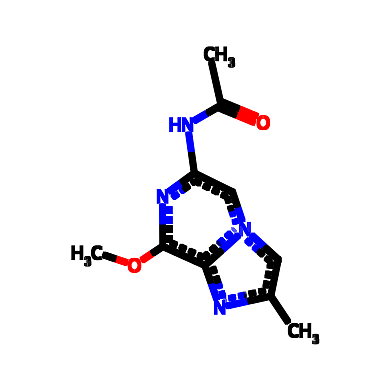 COc1nc(NC(C)=O)cn2cc(C)nc12